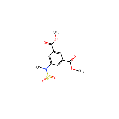 COC(=O)c1cc(C(=O)OC)cc(N(C)[SH](=O)=O)c1